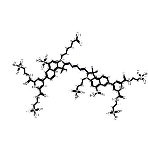 CC1(C)\C(=C/C=C/C=C/C2N(CCCS(=O)(=O)O)c3cc(S(=O)O)c4cc(C5=CC(C(=O)NCCS(=O)(=O)O)NC(C(=O)NCCS(=O)(=O)O)=C5)ccc4c3C2(C)C)N(CCCCCC(=O)O)c2cc(S(=O)(=O)O)c3cc(C4=CC(C(=O)NCCS(=O)(=O)O)NC(C(=O)NCCS(=O)(=O)O)=C4)ccc3c21